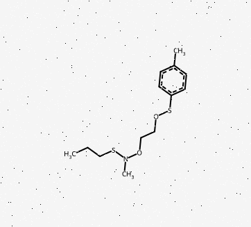 CCCSN(C)OCCOSc1ccc(C)cc1